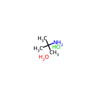 CC(C)(C)N.Cl.O